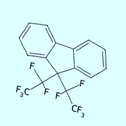 FC(F)(F)C(F)(F)C1(C(F)(F)C(F)(F)F)c2ccccc2-c2ccccc21